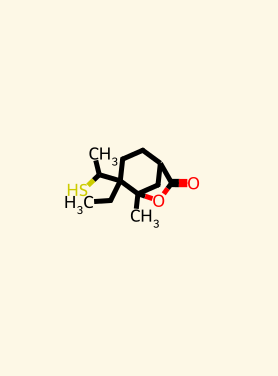 CCC1(C(C)S)CCC2CC1(C)OC2=O